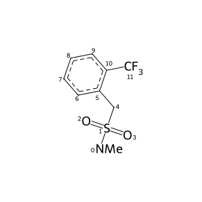 CNS(=O)(=O)Cc1ccccc1C(F)(F)F